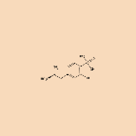 N[C@@H](Cc1ccc(P(=O)(O)O)c(O)c1)C(=O)O